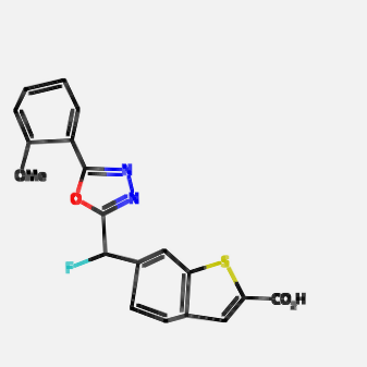 COc1ccccc1-c1nnc(C(F)c2ccc3cc(C(=O)O)sc3c2)o1